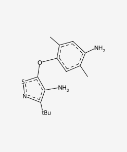 Cc1cc(Oc2snc(C(C)(C)C)c2N)c(C)cc1N